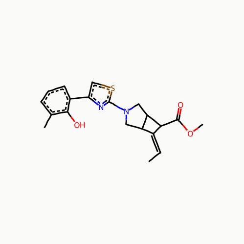 C/C=C1\C2CN(c3nc(-c4cccc(C)c4O)cs3)CC2C1C(=O)OC